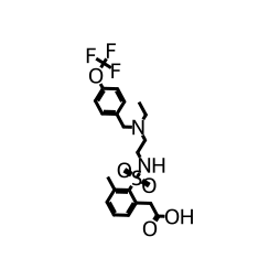 CCN(CCNS(=O)(=O)c1c(C)cccc1CC(=O)O)Cc1ccc(OC(F)(F)F)cc1